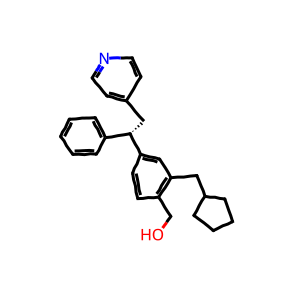 OCc1ccc([C@@H](Cc2ccncc2)c2ccccc2)cc1CC1CCCC1